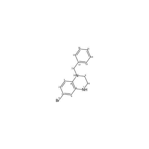 Brc1ccc2c(c1)NCCN2Cc1ccccc1